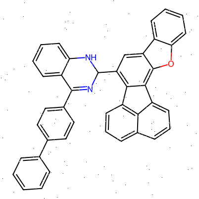 c1ccc(-c2ccc(C3=NC(c4cc5c(oc6ccccc65)c5c4-c4cccc6cccc-5c46)Nc4ccccc43)cc2)cc1